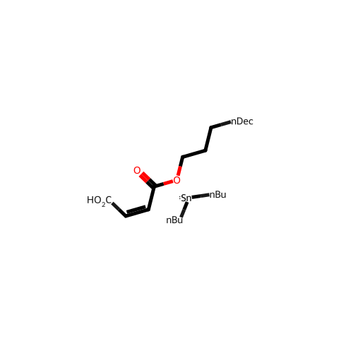 CCCCCCCCCCCCCOC(=O)/C=C\C(=O)O.CCC[CH2][Sn][CH2]CCC